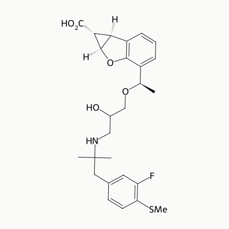 CSc1ccc(CC(C)(C)NCC(O)CO[C@H](C)c2cccc3c2O[C@H]2[C@H](C(=O)O)[C@@H]32)cc1F